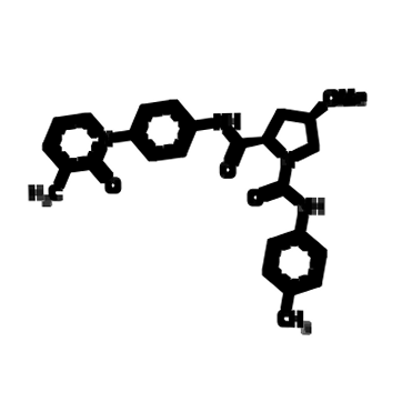 CO[C@@H]1C[C@H](C(=O)Nc2ccc(-n3cccc(C)c3=O)cc2)N(C(=O)Nc2ccc(C)cc2)C1